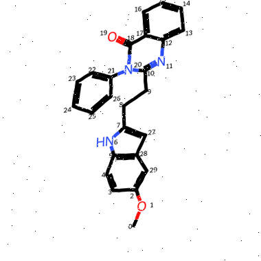 COc1ccc2[nH]c(CCc3nc4ccccc4c(=O)n3-c3ccccc3)cc2c1